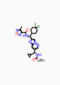 CC[C@@H](C)C(=O)N[C@@H](c1cnn2cc([C@@H](NC(=O)c3nonc3C)C3CCC(F)(F)CC3)nc2c1)C1CC1